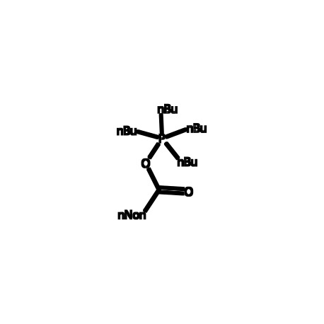 CCCCCCCCCC(=O)OP(CCCC)(CCCC)(CCCC)CCCC